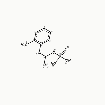 Cc1ccccc1OC(C)OP(=O)(O)O